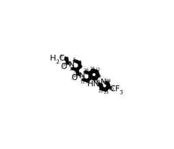 C=CC(=O)N1CCCC(C(=O)N2CCc3c(cccc3Nc3ccc(C(F)(F)F)cn3)C2)C1